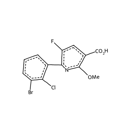 COc1nc(-c2cccc(Br)c2Cl)c(F)cc1C(=O)O